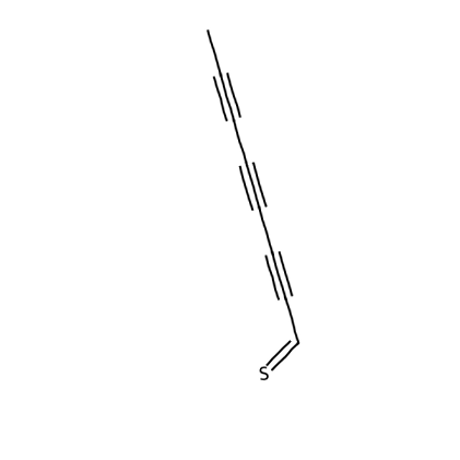 CC#CC#CC#CC=S